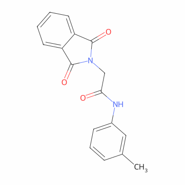 Cc1cccc(NC(=O)CN2C(=O)c3ccccc3C2=O)c1